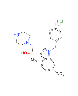 Cl.Cl.O=[N+]([O-])c1ccc2c(C(O)(CN3CCNCC3)C(F)(F)F)cn(Cc3ccccc3)c2c1